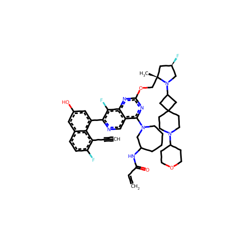 C#Cc1c(F)ccc2cc(O)cc(-c3ncc4c(N5CCCCC(NC(=O)C=C)C5)nc(OC[C@]5(C)C[C@@H](F)CN5C5CC6(CCN(C7CCOCC7)CC6)C5)nc4c3F)c12